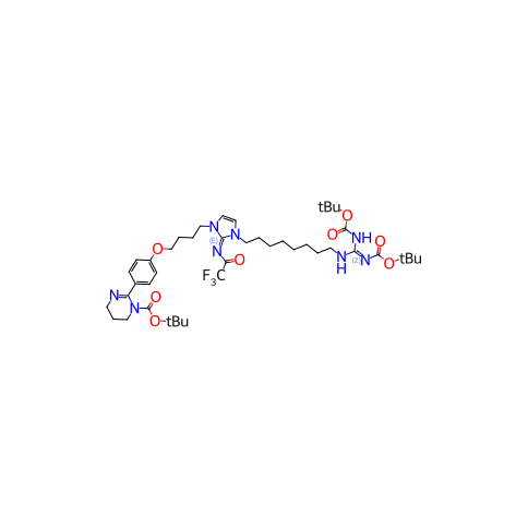 CC(C)(C)OC(=O)/N=C(/NCCCCCCCCn1ccn(CCCCOc2ccc(C3=NCCCN3C(=O)OC(C)(C)C)cc2)/c1=N/C(=O)C(F)(F)F)NC(=O)OC(C)(C)C